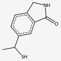 CC(S)c1ccc2c(c1)C(=O)NC2